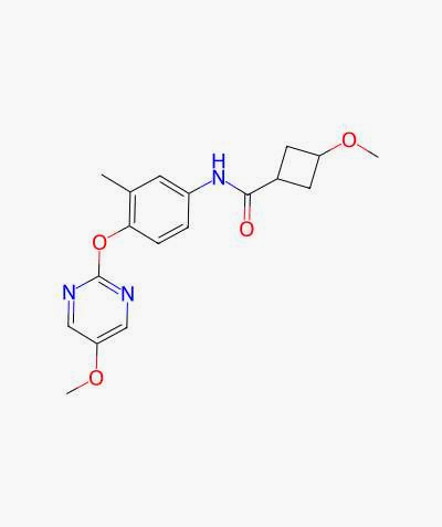 COc1cnc(Oc2ccc(NC(=O)C3CC(OC)C3)cc2C)nc1